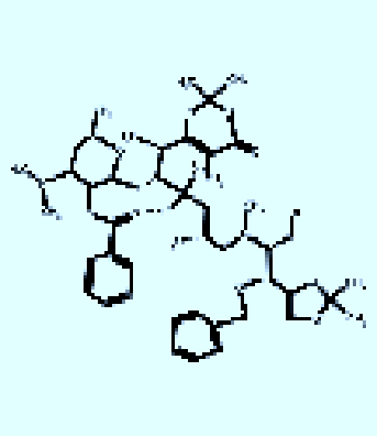 COC(C)(C[C@@H](C)CN(C)[C@@H](CO)[C@H](OCc1ccccc1)C1COC(C)(C)O1)[C@H](OC1OC(C)CC(N(C)C)C1OC(=O)c1ccccc1)[C@@H](C)C1=C(C)C(=O)OC(C)(C)O1